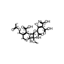 CO[C@@]1(NC(=O)Cc2onc(O)c2C(=O)O)C(=O)N2C(C(=O)O)=C(COC(C)=O)CS[C@@H]21